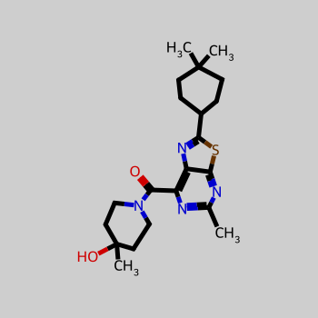 Cc1nc(C(=O)N2CCC(C)(O)CC2)c2nc(C3CCC(C)(C)CC3)sc2n1